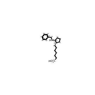 O=C(O)CCCCCC[C@@H]1CCC[C@@H]1NCc1ccccc1